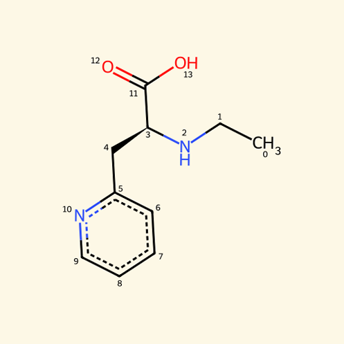 CCN[C@@H](Cc1ccccn1)C(=O)O